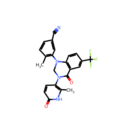 Cc1ccc(C#N)cc1N1CN(c2ccc(=O)[nH]c2C)C(=O)c2cc(C(F)(F)F)ccc21